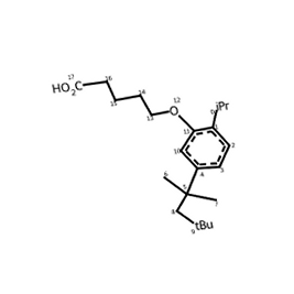 CC(C)c1ccc(C(C)(C)CC(C)(C)C)cc1OCCCCC(=O)O